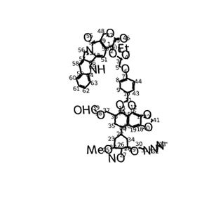 CC[C@@]1(OC(=O)COC2=CCC(C(=O)O[C@@H]3c4cc5c(cc4[C@@H](C4CC(OC)C(N=O)C(OCN=[N+]=[N-])C4)CC3COC=O)OCO5)C=C2)C(=O)OCc2c1cc1n(c2=O)CC2=Cc3ccccc3NC21